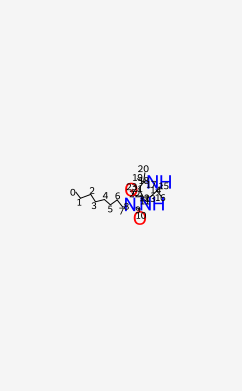 CCCCCCCCN1C(=O)NC2(CC(C)(C)NC(C)(C)C2)C1=O